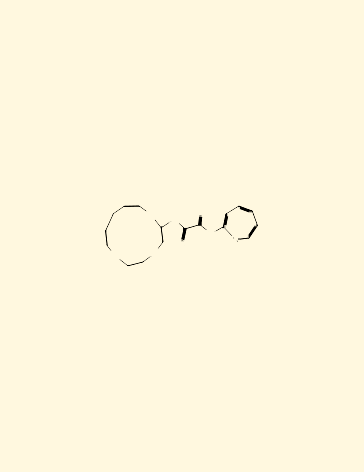 O=C(OC1=CC=CC=CN1)C(=O)OC1CCCCCCCCCCC1